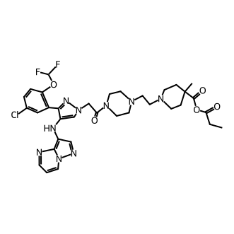 CCC(=O)OC(=O)C1(C)CCN(CCN2CCN(C(=O)Cn3cc(Nc4cnn5cccnc45)c(-c4cc(Cl)ccc4OC(F)F)n3)CC2)CC1